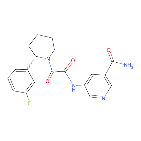 NC(=O)c1cncc(NC(=O)C(=O)N2CCCC[C@H]2c2cccc(F)c2)c1